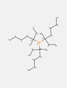 CCCCC(C)(CC)P(C(C)(CC)CCCC)C(C)(CC)CCCC